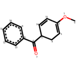 COC1=CCC(C(=O)c2ccccc2)C=C1